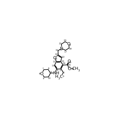 CCc1c(NC2CCOCC2)cc2oc(CN3CCOCC3)cc2c1C(=O)OC